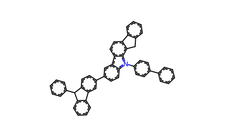 c1ccc(-c2ccc(-n3c4ccc(-c5ccc6c(c5)-c5ccccc5C6c5ccccc5)cc4c4ccc5c(c43)Cc3ccccc3-5)cc2)cc1